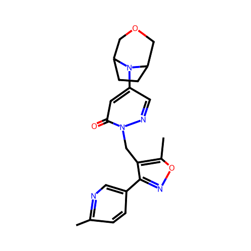 Cc1ccc(-c2noc(C)c2Cn2ncc(N3C4CCC3COC4)cc2=O)cn1